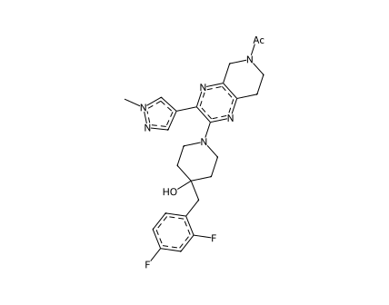 CC(=O)N1CCc2nc(N3CCC(O)(Cc4ccc(F)cc4F)CC3)c(-c3cnn(C)c3)nc2C1